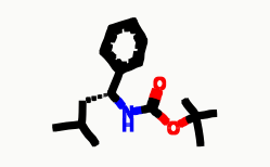 CC(C)C[C@@H](NC(=O)OC(C)(C)C)c1ccccc1